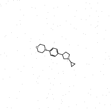 c1cc(N2CCOCC2)ccc1C1CCN(C2CC2)C1